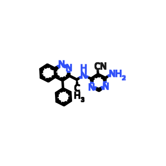 C[C@H](Nc1ncnc(N)c1C#N)c1nnc2ccccc2c1-c1ccccc1